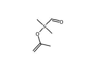 C=C(C)O[Si](C)(C)C=O